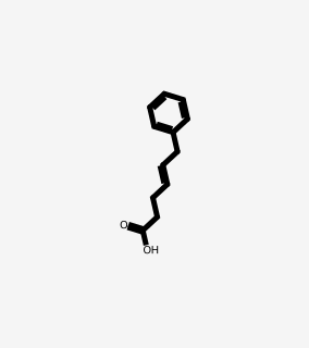 O=C(O)CC/C=C/Cc1ccccc1